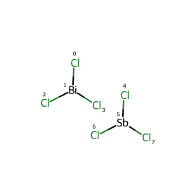 [Cl][Bi]([Cl])[Cl].[Cl][Sb]([Cl])[Cl]